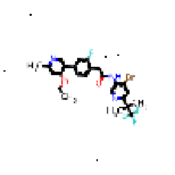 CCOc1cc(C)ncc1-c1ccc(CC(=O)Nc2cnc(C(C)(C)C(F)(F)F)cc2Br)c(F)c1